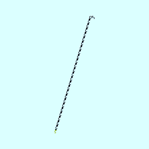 C=C=C=C=C=C=C=C=C=C=C=C=C=C=C=C=C=C=C=C=C=C=C=C=C=C=S